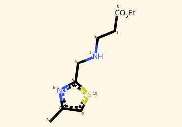 CCOC(=O)CCNCc1nc(C)cs1